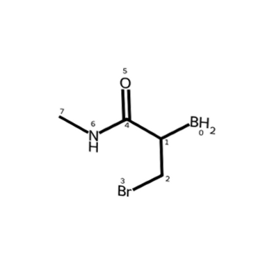 BC(CBr)C(=O)NC